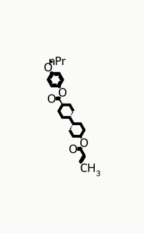 CC=CC(=O)O[C@H]1CC[C@H]([C@H]2CC[C@H](C(=O)Oc3ccc(OCCC)cc3)CC2)CC1